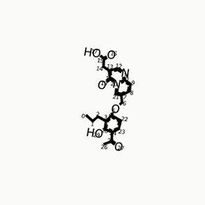 CCCc1c(OCc2ccc3ncc(CC(=O)O)c(=O)n3c2)ccc(C(C)=O)c1O